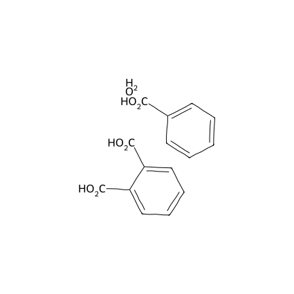 O.O=C(O)c1ccccc1.O=C(O)c1ccccc1C(=O)O